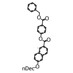 CCCCCCCCCCOc1ccc2[c]c(C(=O)Oc3ccc(C(=O)OCc4ccccc4)cc3)ccc2c1